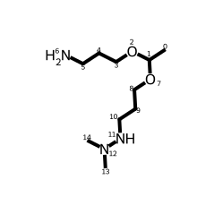 CC(OCCCN)OCCCNN(C)C